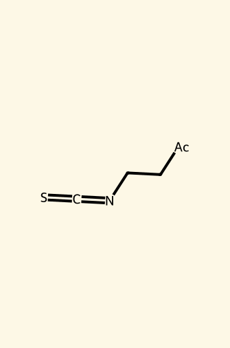 CC(=O)CCN=C=S